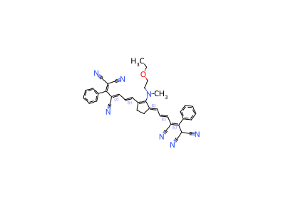 CCOCCN(C)C1=C(/C=C/C=C(\C#N)C(=C(C#N)C#N)c2ccccc2)CC\C1=C/C=C/C(C#N)=C(\c1ccccc1)C(C#N)C#N